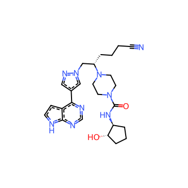 N#CCCC[C@@H](Cn1cc(-c2ncnc3[nH]ccc23)cn1)N1CCN(C(=O)N[C@H]2CCC[C@@H]2O)CC1